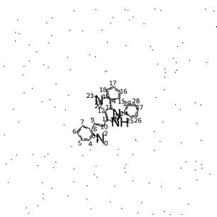 CN(C)c1ccccc1C=CC1=CC(c2ccccc2N(C)C)N(c2ccccc2)N1